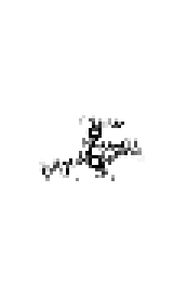 CNc1cc2c(cc1C#N)nc(-c1nn(COCC[Si](C)(C)C)c3c1C[C@@H]1C[C@]1(C)C3)n2COCC[Si](C)(C)C